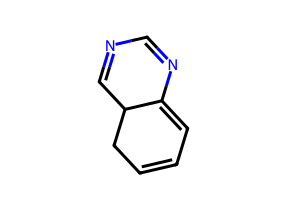 C1=CCC2C=NC=NC2=C1